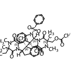 CC[C@@]1(C)C(=O)N2[C@H]3Cc4ccccc4[C@@]3([C@]34C[C@@]5(C)C(=O)N(C)[C@@](C)(COC(C)=O)C(=O)N5[C@H]3N(S(=O)(=O)c3ccccc3)c3ccccc34)C[C@@]2(C)C(=O)N1C